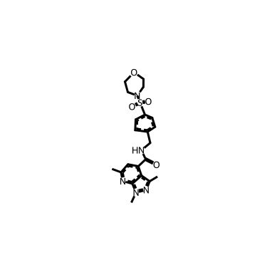 Cc1cc(C(=O)NCc2ccc(S(=O)(=O)N3CCOCC3)cc2)c2c(C)nn(C)c2n1